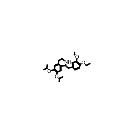 CCOc1ccc(CC2NCCc3cc(OC(C)C)c(OC(C)C)cc32)cc1OCC